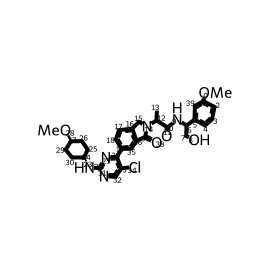 COc1cccc(C(CO)NC(=O)C(C)N2Cc3ccc(-c4nc(N[C@H]5CC[C@H](OC)CC5)ncc4Cl)cc3C2=O)c1